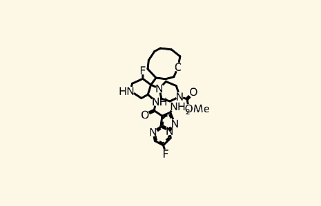 COC(=O)N1CCN(C2(C3CCCCCCCCC3)C(F)CNCC2NC(=O)c2c(N)nn3cc(F)cnc23)CC1